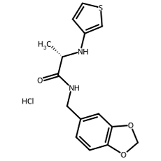 C[C@H](Nc1ccsc1)C(=O)NCc1ccc2c(c1)OCO2.Cl